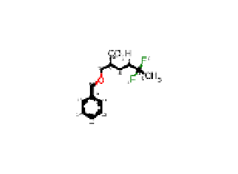 CC(F)(F)CC[C@@H](COCc1ccccc1)C(=O)O